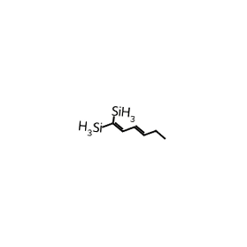 CC/C=C/C=C([SiH3])[SiH3]